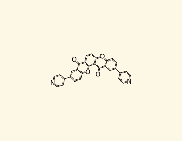 O=c1c2cc(-c3ccncc3)ccc2oc2c1ccc1oc3ccc(-c4ccncc4)cc3c(=O)c12